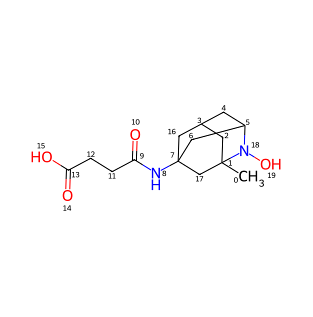 CC12CC3CC(CC(NC(=O)CCC(=O)O)(C3)C1)N2O